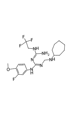 COc1ccc(NC(=N/CNC2CCCCCC2)/N=C(\N)NCC(F)(F)F)cc1F